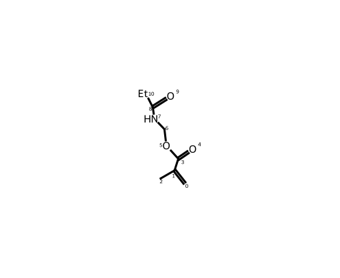 C=C(C)C(=O)OCNC(=O)CC